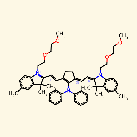 COCCOCCN1/C(=C/C=C2\CCC(/C=C/C3=[N+](CCOCCOC)c4ccc(C)cc4C3(C)C)=C2N(c2ccccc2)c2ccccc2)C(C)(C)c2cc(C)ccc21